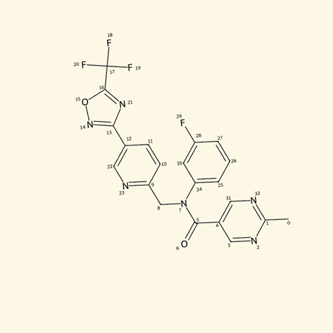 Cc1ncc(C(=O)N(Cc2ccc(-c3noc(C(F)(F)F)n3)cn2)c2cccc(F)c2)cn1